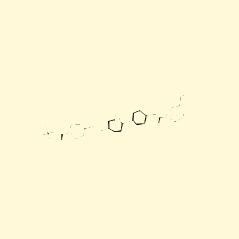 CC(C)(C)OC(=O)N1CCC(COc2ccc(-c3ccc(CC(=O)N4CCOC(CO)C4)cc3)nc2)CC1